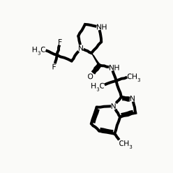 Cc1cccn2c(C(C)(C)NC(=O)[C@@H]3CNCCN3CC(C)(F)F)ncc12